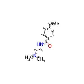 COc1[c]cc(C(=O)NCCN(C)C)cc1